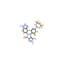 Cc1c2c(nn1C)C(=O)N(c1ccc3[nH]cnc3c1)C2c1ccc(N2CC(F)(F)OC(F)(F)C2)cc1F